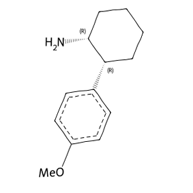 COc1ccc([C@H]2CCCC[C@H]2N)cc1